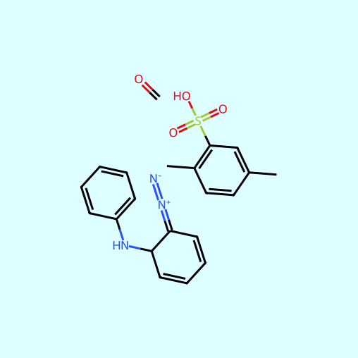 C=O.Cc1ccc(C)c(S(=O)(=O)O)c1.[N-]=[N+]=C1C=CC=CC1Nc1ccccc1